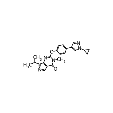 CC(C)n1ncc2c(=O)n(C)c(Oc3ccc(-c4cnn(C5CC5)c4)cc3)nc21